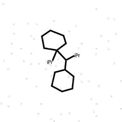 CC(C)C(C1CCCCC1)C1(C(C)C)CCCCC1